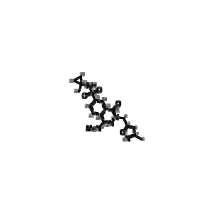 CNc1nn(Cc2cc(C)no2)c(=O)c2cc(S(=O)(=O)NC3(C)CC3)ccc12